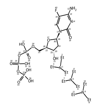 CCN(CC)CC.CCN(CC)CC.CCN(CC)CC.Nc1nc(=O)n([C@H]2C[C@H](O)[C@@H](COP(=O)(O)OP(=O)(O)OP(=O)(O)O)O2)cc1F